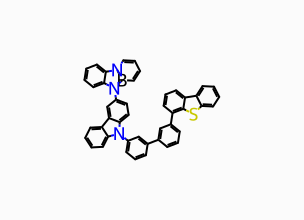 C1=CB2N(C=C1)c1ccccc1N2c1ccc2c(c1)c1ccccc1n2-c1cccc(-c2cccc(-c3cccc4c3sc3ccccc34)c2)c1